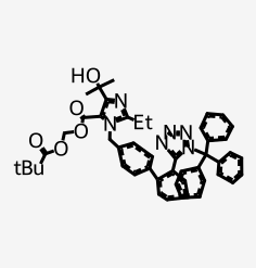 CCc1nc(C(C)(C)O)c(C(=O)OCOC(=O)C(C)(C)C)n1Cc1ccc(-c2ccccc2-c2nnnn2C(c2ccccc2)(c2ccccc2)c2ccccc2)cc1